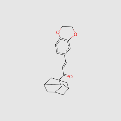 O=C(C=Cc1ccc2c(c1)OCCO2)C12CC3CC(CC(C3)C1)C2